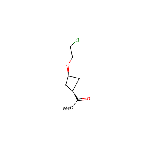 COC(=O)[C@H]1C[C@@H](OCCCl)C1